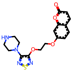 O=c1ccc2ccc(OCCOc3nsnc3N3CCNCC3)cc2o1